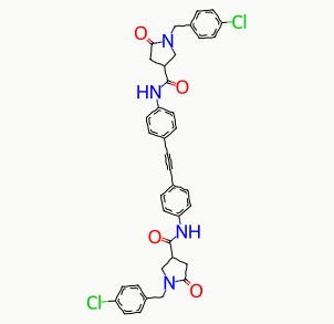 O=C(Nc1ccc(C#Cc2ccc(NC(=O)C3CC(=O)N(Cc4ccc(Cl)cc4)C3)cc2)cc1)C1CC(=O)N(Cc2ccc(Cl)cc2)C1